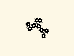 c1ccc(-n2c3ccccc3c3cc(-c4ccc5c(c4)c4cc(-c6cccc7oc8ccccc8c67)ccc4n5-c4cccc5ccccc45)ccc32)cc1